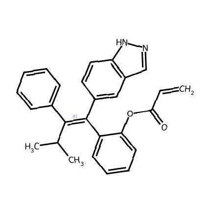 C=CC(=O)Oc1ccccc1/C(=C(/c1ccccc1)C(C)C)c1ccc2[nH]ncc2c1